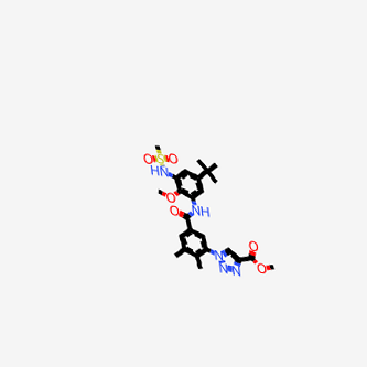 COC(=O)c1cn(-c2cc(C(=O)Nc3cc(C(C)(C)C)cc(NS(C)(=O)=O)c3OC)cc(C)c2C)nn1